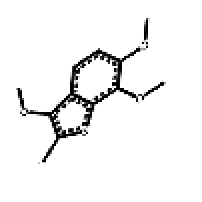 [CH2]c1sc2c(OC)c(OC)ccc2c1OC